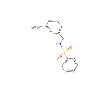 O=C(O)c1cccc(CNS(=O)(=O)c2ccccc2)c1